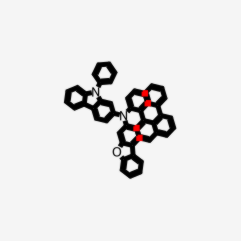 c1ccc(-c2cccc3cccc(-c4ccccc4N(c4ccc5c(c4)oc4ccccc45)c4ccc5c6ccccc6n(-c6ccccc6)c5c4)c23)cc1